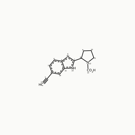 C#Cc1ccc2nc(C3CCCN3C(=O)O)[nH]c2c1